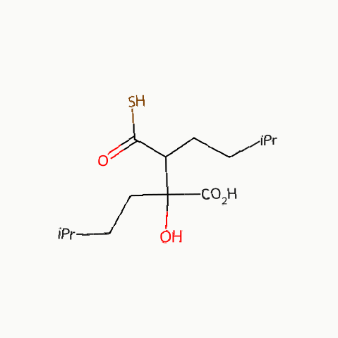 CC(C)CCC(C(=O)S)C(O)(CCC(C)C)C(=O)O